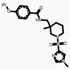 CC(C)Oc1ccc(C(=O)NCC2(C)CCCN(S(=O)(=O)c3cn(C)cn3)C2)cc1